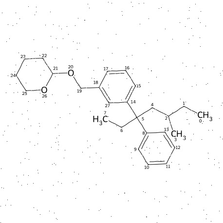 CCC(C)CC(CC)(c1ccccc1)c1cccc(COC2CCCCO2)c1